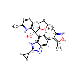 Cc1cccc([C@](O)(c2cc(-c3c(C)noc3C)cc3[nH]c(C4CC4)nc23)C2CCCO2)n1